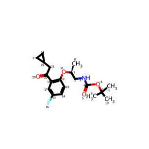 C[C@@H](CNC(=O)OC(C)(C)C)Oc1ccc(F)cc1C(=O)CC1CC1